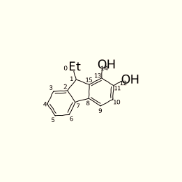 CCC1c2ccccc2-c2ccc(O)c(O)c21